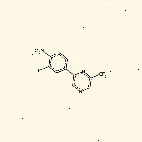 Nc1ccc(-c2cncc(C(F)(F)F)n2)cc1F